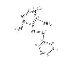 Nc1cc[n+]([O-])c(N)c1N=Nc1cccnc1